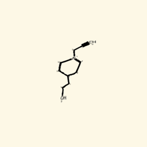 C#CCN1CCC(CCO)CC1